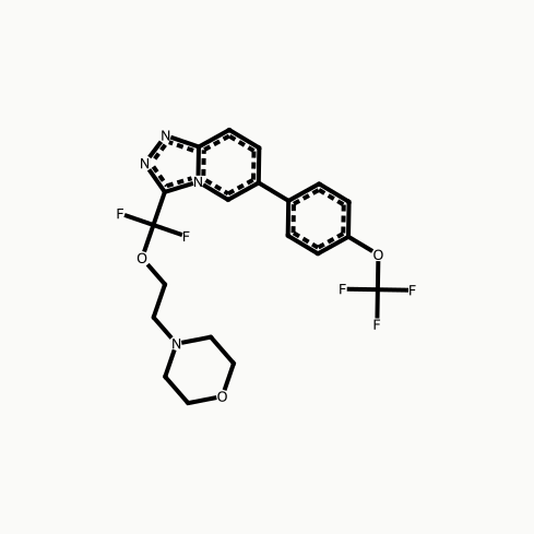 FC(F)(F)Oc1ccc(-c2ccc3nnc(C(F)(F)OCCN4CCOCC4)n3c2)cc1